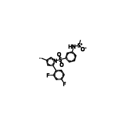 [CH2]c1cc(-c2ccc(F)cc2F)n(S(=O)(=O)c2cccc(N[S+](C)[O-])c2)c1